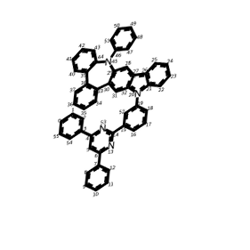 c1ccc(-c2cc(-c3ccccc3)nc(-c3cccc(-n4c5ccccc5c5cc6c(cc54)-c4ccccc4-c4ccccc4N6c4ccccc4)c3)n2)cc1